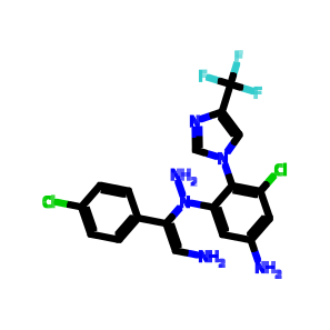 N/C=C(/c1ccc(Cl)cc1)N(N)c1cc(N)cc(Cl)c1-n1cnc(C(F)(F)F)c1